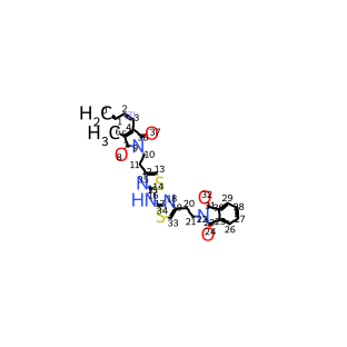 C=C/C=C\C1=C(C)C(=O)N(CCc2csc(Nc3nc(CCN4C(=O)c5ccccc5C4=O)cs3)n2)C1=O